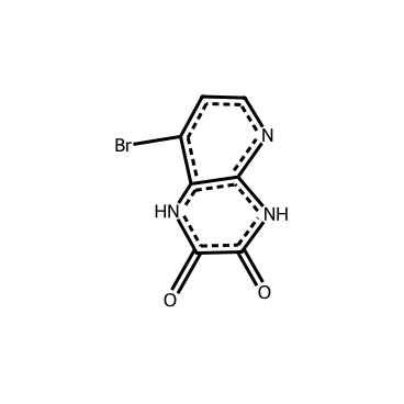 O=c1[nH]c2nccc(Br)c2[nH]c1=O